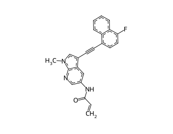 C=CC(=O)Nc1cnc2c(c1)c(C#Cc1ccc(F)c3ccccc13)cn2C